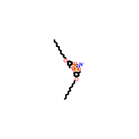 CCCCCCCCCCCOc1ccc(S(=O)(=O)C(=[N+]=[N-])S(=O)(=O)c2ccc(OCCCCCCCCCCC)cc2C)c(C)c1